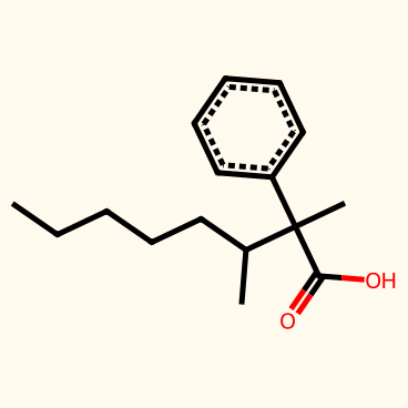 CCCCCC(C)C(C)(C(=O)O)c1ccccc1